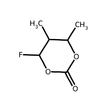 CC1OC(=O)OC(F)C1C